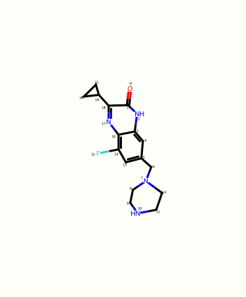 O=c1[nH]c2cc(CN3CCNCC3)cc(F)c2nc1C1CC1